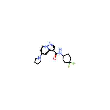 O=C(NC1CCC(F)(F)CC1)c1cnn2ccc(N3CCCC3)cc12